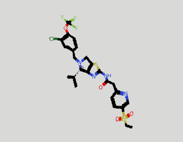 CCS(=O)(=O)c1ccc(CC(=O)Nc2nc3c(s2)CN(Cc2ccc(OC(F)(F)F)c(Cl)c2)[C@H]3C(C)C)nc1